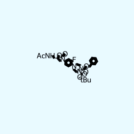 CC(=O)NC[C@H]1CN(c2ccc(N3CCN(C(=O)OCc4ccccc4)N(C(=O)OC(C)(C)C)CC3)c(F)c2)C(=O)O1